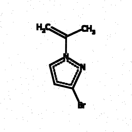 C=C(C)n1ccc(Br)n1